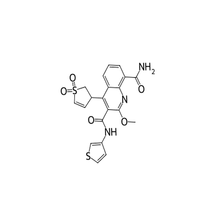 COc1nc2c(C(N)=O)cccc2c(C2C=CS(=O)(=O)C2)c1C(=O)Nc1ccsc1